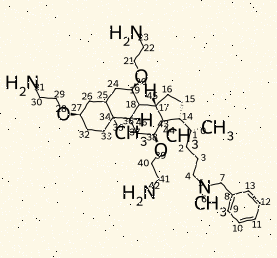 C[C@H](CCCN(C)Cc1ccccc1)[C@H]1CC[C@H]2C3[C@H](OCCN)CC4C[C@H](OCCN)CCC4(C)[C@H]3C[C@H](OCCN)[C@]12C